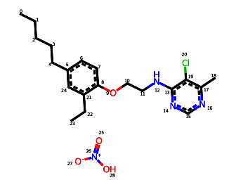 CCCCCc1ccc(OCCNc2ncnc(C)c2Cl)c(CC)c1.O=[N+]([O-])O